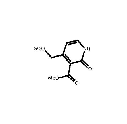 COCc1cc[nH]c(=O)c1C(=O)OC